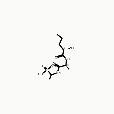 CCC[C@H](N)C(=O)N[C@@H](C)C(=O)NC(C)P(=O)(O)O